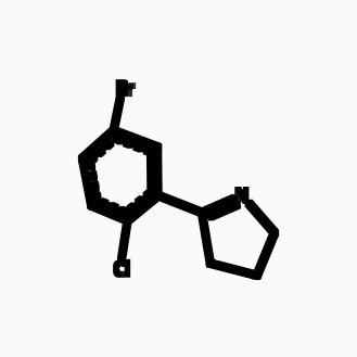 Clc1ccc(Br)cc1C1=NCCC1